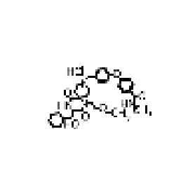 CCOCCN1C(=O)[C@@H]([C@H](O)C2CCCCC2)NC(=O)C12CCN(Cc1ccc(Oc3ccc(C(=O)NC)cc3)cc1)CC2.Cl